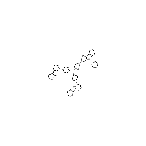 c1ccc(-n2c3ccccc3c3ccc(-c4ccc(N(c5ccc(-c6cccc7c6oc6ccccc67)cc5)c5ccc(-c6cccc7c6sc6ccccc67)cc5)cc4)cc32)cc1